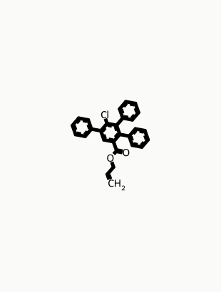 C=CCOC(=O)c1cc(-c2ccccc2)c(Cl)c(-c2ccccc2)c1-c1ccccc1